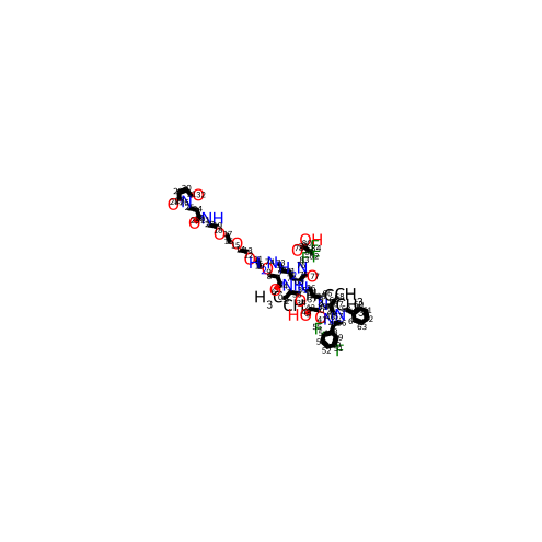 CC(C)[C@H](NC(=O)CCOCCOCCOCCOCCNC(=O)CCN1C(=O)C=CC1=O)C(=O)N(CCCN(C(=O)CO)[C@@H](c1nc(-c2cc(F)ccc2F)cn1Cc1ccccc1)C(C)(C)C)[C@@H](CCCCN)C(N)=O.O=C(O)C(F)(F)F